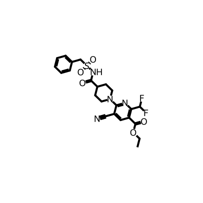 CCOC(=O)c1cc(C#N)c(N2CCC(C(=O)NS(=O)(=O)Cc3ccccc3)CC2)nc1C(F)F